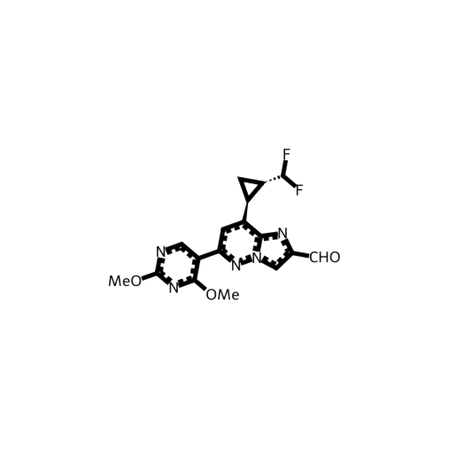 COc1ncc(-c2cc([C@H]3C[C@@H]3C(F)F)c3nc(C=O)cn3n2)c(OC)n1